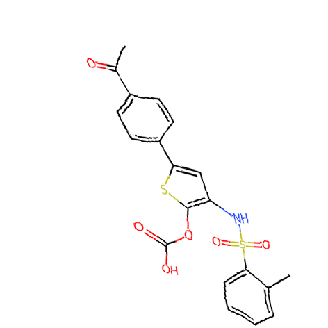 CC(=O)c1ccc(-c2cc(NS(=O)(=O)c3ccccc3C)c(OC(=O)O)s2)cc1